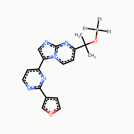 CC[Si](CC)(CC)OC(C)(C)c1ccn2c(-c3ccnc(-c4ccoc4)n3)cnc2n1